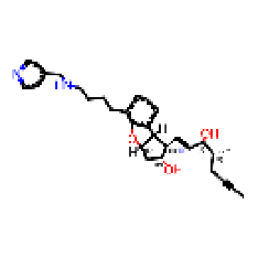 CC#CC[C@@H](C)[C@H](O)/C=C/[C@@H]1[C@H]2c3cccc(CCCCNCc4ccncc4)c3O[C@H]2C[C@H]1O